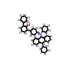 c1ccc(-c2c3ccccc3c(N(c3ccccc3)c3ccc(-c4cccc5c4oc4ccccc45)cc3)c3ccccc23)cc1